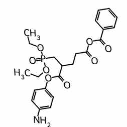 CCOP(=O)(CC(CCC(=O)OC(=O)c1ccccc1)C(=O)Oc1ccc(N)cc1)OCC